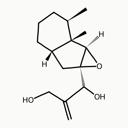 C=C(CO)C(O)[C@]12C[C@@H]3CCC[C@@H](C)[C@]3(C)[C@H]1O2